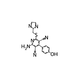 N#Cc1c(N)nc(SCC2N=CC=N2)c(C#N)c1-c1ccc(O)cc1